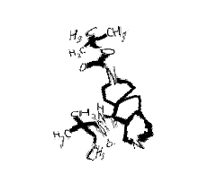 CC(C)(C)OC(=O)N1CCC2(CC1)Cc1ccncc1[C@H]2N[S@+]([O-])C(C)(C)C